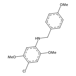 COc1ccc(CNc2cc(OC)c(Cl)cc2OC)cc1